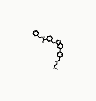 NCCNCc1ccc(-c2ccc3ncn(Cc4cccc(C(=O)NCc5ccccc5)c4)c3c2)cc1